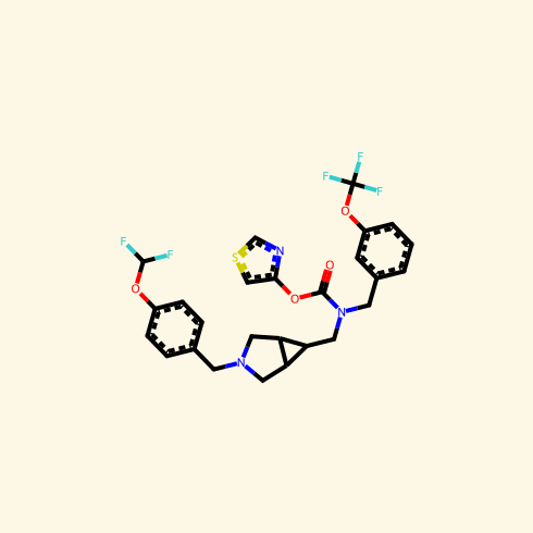 O=C(Oc1cscn1)N(Cc1cccc(OC(F)(F)F)c1)CC1C2CN(Cc3ccc(OC(F)F)cc3)CC21